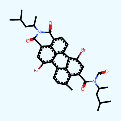 Cc1ccc2c3c(Br)cc4c5c(ccc(c6c(Br)cc(C(=O)N(C=O)C(C)CC(C)C)c1c26)c53)C(=O)N(C(C)CC(C)C)C4=O